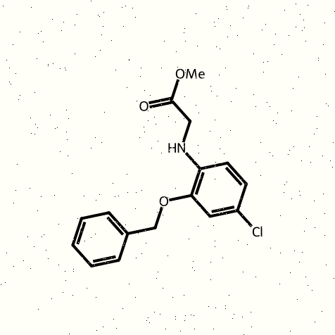 COC(=O)CNc1ccc(Cl)cc1OCc1ccccc1